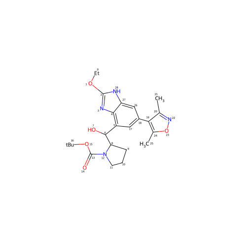 CCOc1nc2c(C(O)C3CCCN3C(=O)OC(C)(C)C)cc(-c3c(C)noc3C)cc2[nH]1